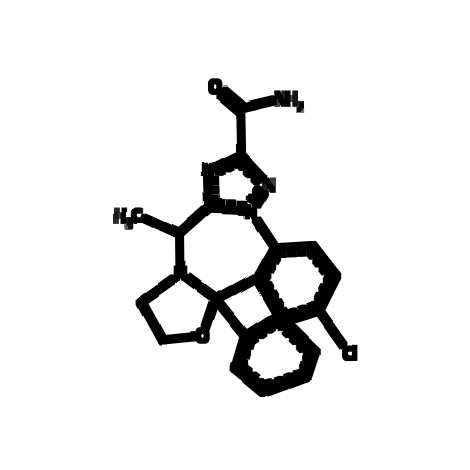 CC1c2nc(C(N)=O)nn2-c2ccc(Cl)cc2C2(c3ccccc3)OCCN12